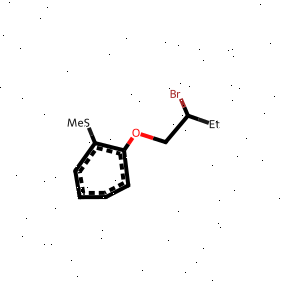 CCC(Br)COc1ccccc1SC